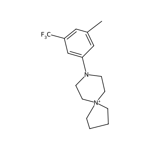 Cc1cc(N2CC[N+]3(CCCC3)CC2)cc(C(F)(F)F)c1